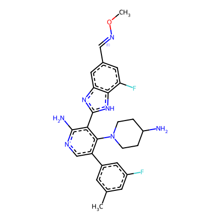 CO/N=C/c1cc(F)c2[nH]c(-c3c(N)ncc(-c4cc(C)cc(F)c4)c3N3CCC(N)CC3)nc2c1